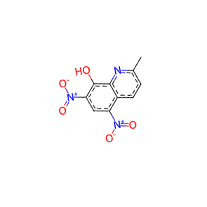 Cc1ccc2c([N+](=O)[O-])cc([N+](=O)[O-])c(O)c2n1